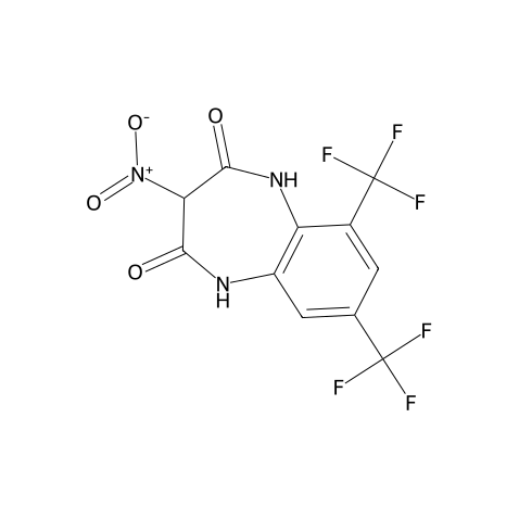 O=C1Nc2cc(C(F)(F)F)cc(C(F)(F)F)c2NC(=O)C1[N+](=O)[O-]